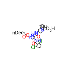 CCCCCCCCCCCC(=O)OCn1cc(NC(=O)c2c(Cl)cccc2Cl)c(C(=O)NC2CCN(C(=O)O)C(C(C)(C)C)C2)n1